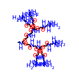 CCNC(COCCC(=O)NCCC(=O)NC(COCCC(=O)NCCNC(=N)N)(COCCC(=O)NCCNC(=N)N)COCCC(=O)NCCNC(=N)N)COCCC(=O)NCCC(=O)NC(COCCC(=O)NCCNC(=N)N)(COCCC(=O)NCCNC(=N)N)COCCC(=O)NCCNC(=N)N